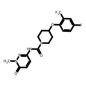 Cn1nc(NC(=O)N2CCC(Oc3ccc(F)cc3C(F)(F)F)CC2)ccc1=O